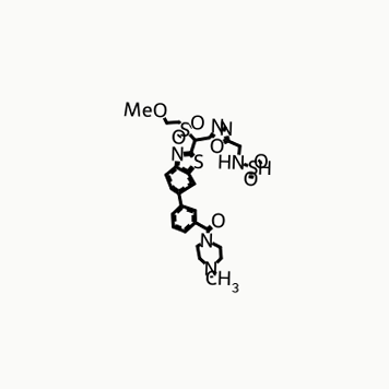 COCCS(=O)(=O)C(c1nnc(CN[SH](=O)=O)o1)c1nc2ccc(-c3cccc(C(=O)N4CCN(C)CC4)c3)cc2s1